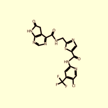 O=C1Cc2c(ncnc2C(=O)NCc2ncc(C(=O)Nc3cc(C(F)(F)F)c(Cl)cn3)s2)N1